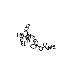 CCc1nn(C[C@@H](C)COC(=O)c2cccc(C(=O)NC)c2)c2c1C(=O)NCC1(CCOCC1)C2